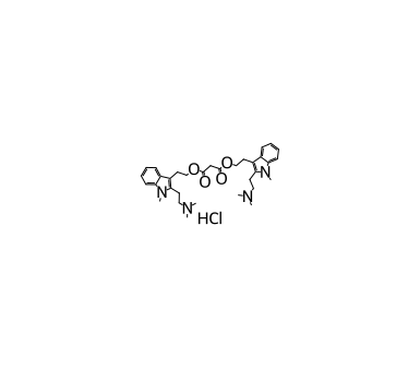 CN(C)CCc1c(CCOC(=O)CC(=O)OCCc2c(CCN(C)C)n(C)c3ccccc23)c2ccccc2n1C.Cl